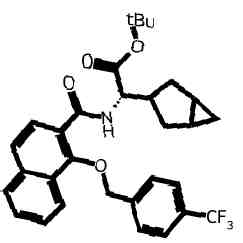 CC(C)(C)OC(=O)[C@@H](NC(=O)c1ccc2ccccc2c1OCc1ccc(C(F)(F)F)cc1)C1CC2CC2C1